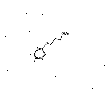 COCCCOc1cnc(C)cn1